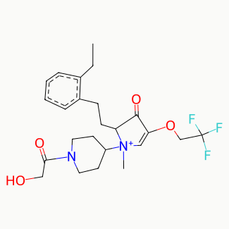 CCc1ccccc1CCC1C(=O)C(OCC(F)(F)F)=C[N+]1(C)C1CCN(C(=O)CO)CC1